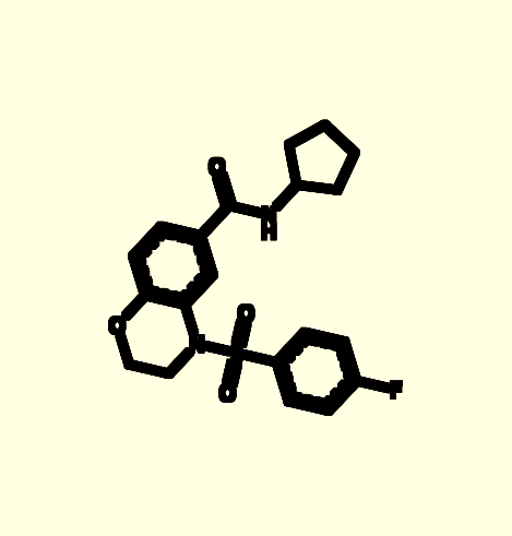 O=C(NC1CCCC1)c1ccc2c(c1)N(S(=O)(=O)c1ccc(F)cc1)CCO2